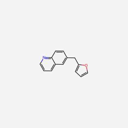 c1coc(Cc2ccc3ncccc3c2)c1